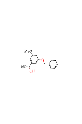 COc1cc(OCc2ccccc2)cc(C(O)C#N)c1